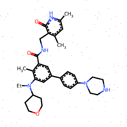 CCN(c1cc(-c2ccc(N3CCNCC3)cc2)cc(C(=O)NCc2c(C)cc(C)[nH]c2=O)c1C)C1CCOCC1